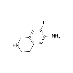 Nc1cc2c(cc1F)CNCC2